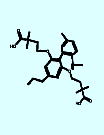 C=C(C)c1ccc(C)cc1-c1c(OCCC(C)(C)C(=O)O)cc(CCC)cc1OCCC(C)(C)C(=O)O